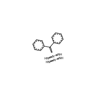 C=C(c1ccccc1)c1ccccc1.N=[N+]=N.N=[N+]=N